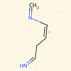 C=N/C=C\CC=N